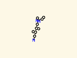 N#Cc1ccc(-c2ccc(-c3ccc(-c4ccc(-c5nc(-c6ccc7ccccc7c6)c6ccccc6n5)cc4)c4ccccc34)c3ccccc23)cc1